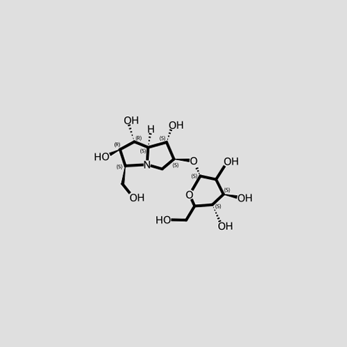 OCC1O[C@H](O[C@H]2CN3[C@@H]([C@@H](O)[C@H](O)[C@@H]3CO)[C@@H]2O)C(O)[C@@H](O)[C@@H]1O